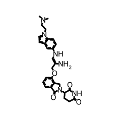 CN(C)CCn1ccc2cc(N/C=C(\N)COc3cccc4c3CN(C3CCC(=O)NC3=O)C4=O)ccc21